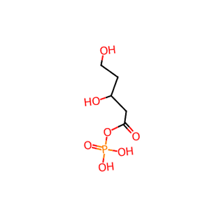 O=C(CC(O)CCO)OP(=O)(O)O